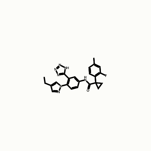 CCc1cnn(-c2ccc(NC(=O)C3(c4ccc(C)cc4F)CC3)cc2-c2nnn[nH]2)c1